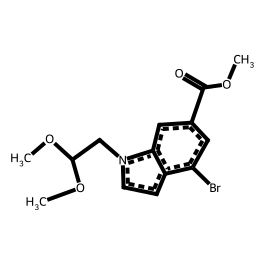 COC(=O)c1cc(Br)c2ccn(CC(OC)OC)c2c1